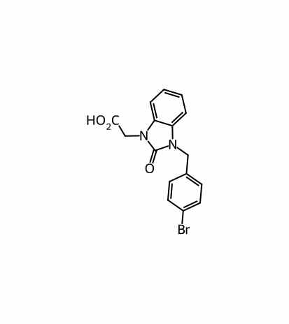 O=C(O)Cn1c(=O)n(Cc2ccc(Br)cc2)c2ccccc21